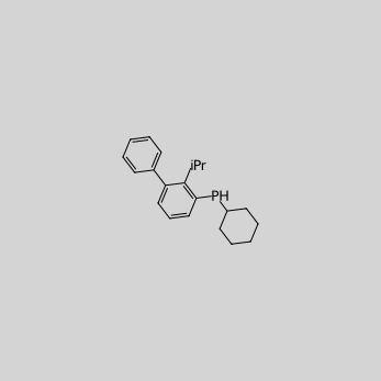 CC(C)c1c(PC2CCCCC2)cccc1-c1ccccc1